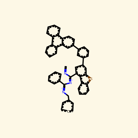 C=N/C(=N\C(=N/Cc1ccccc1)c1ccccc1)c1cc(-c2cccc(-c3ccc4c5ccccc5c5ccccc5c4c3)c2)cc2sc3ccccc3c12